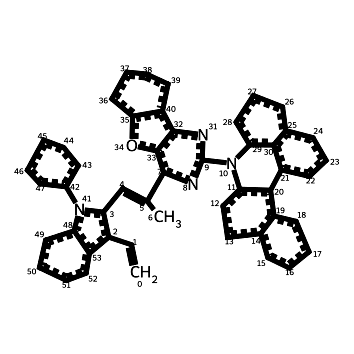 C=Cc1c(/C=C(\C)c2nc(N3c4ccc5ccccc5c4-c4cccc5cccc3c45)nc3c2oc2ccccc23)n(-c2ccccc2)c2ccccc12